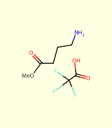 COC(=O)CCCN.O=C(O)C(F)(F)F